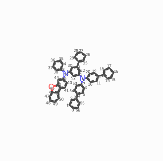 c1ccc(-c2ccc(N(c3ccc(-c4ccccc4)cc3)c3cc(-c4ccccc4)cc(N(c4ccccc4)c4ccc5c(c4)oc4ccccc45)c3)cc2)cc1